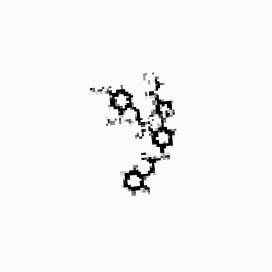 COc1ccc(CNS(=O)(=O)c2cc(NC(=O)Cc3ccccc3Cl)ccc2-n2cc(NCC(F)(F)F)cn2)c(OC)c1